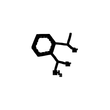 BC(Br)c1ccccc1C(C)Br